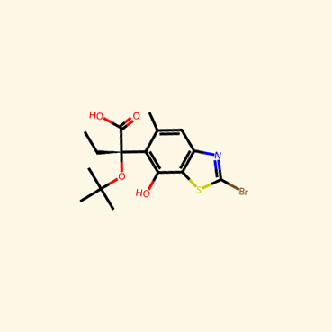 CC[C@@](OC(C)(C)C)(C(=O)O)c1c(C)cc2nc(Br)sc2c1O